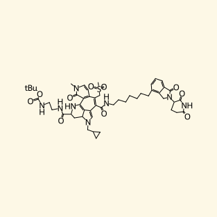 Cn1ccc2c(c1=O)C1=C3C(=CN(CC4CC4)C3CC(C(=O)NCCNC(=O)OC(C)(C)C)N1)C(C(=O)NCCCCCCCc1cccc3c1CN(C1CCC(=O)NC1=O)C3=O)=C2CS(C)(=O)=O